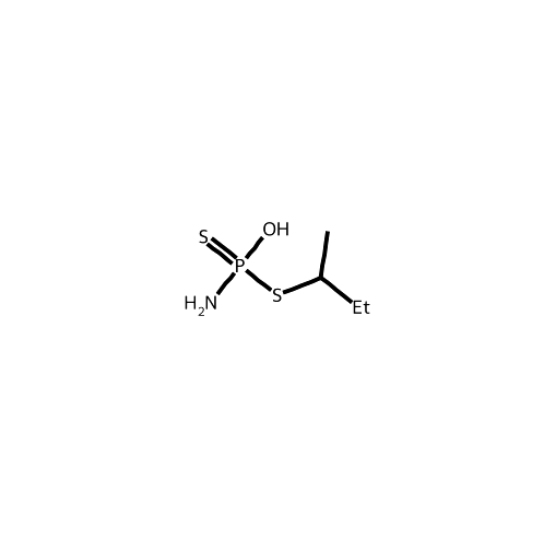 CCC(C)SP(N)(O)=S